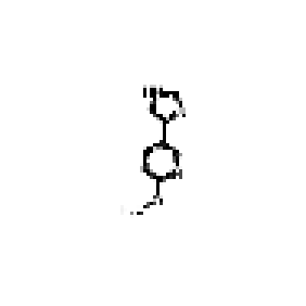 COc1ccc(-c2c[nH]cn2)cn1